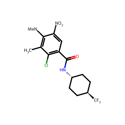 CNc1c([N+](=O)[O-])cc(C(=O)N[C@H]2CC[C@H](C(F)(F)F)CC2)c(Cl)c1C